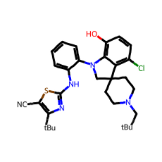 CC(C)(C)CN1CCC2(CC1)CN(c1ccccc1Nc1nc(C(C)(C)C)c(C#N)s1)c1c(O)ccc(Cl)c12